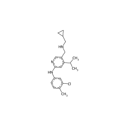 Cc1ccc(Nc2cc(C(C)C)c(CNCC3CC3)cn2)cc1Cl